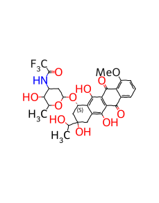 COc1cccc2c1C(=O)c1c(O)c3c(c(O)c1C2=O)CC(O)(C(C)O)C[C@@H]3OC1CC(NC(=O)C(F)(F)F)C(O)C(C)O1